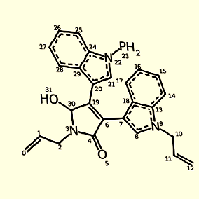 C=CCN1C(=O)C(c2cn(CC=C)c3ccccc23)=C(c2cn(P)c3ccccc23)C1O